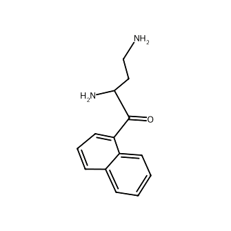 NCCC(N)C(=O)c1cccc2ccccc12